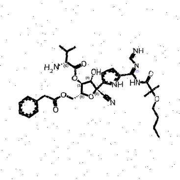 CCCCOC(C)(C)C(=O)N/C(=N/C=N)c1ccc([C@]2(C#N)O[C@H](COC(=O)Cc3ccccc3)[C@@H](OC(=O)[C@H](N)C(C)C)[C@H]2O)[nH]1